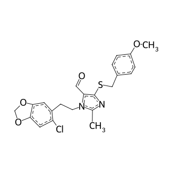 COc1ccc(CSc2nc(C)n(CCc3cc4c(cc3Cl)OCO4)c2C=O)cc1